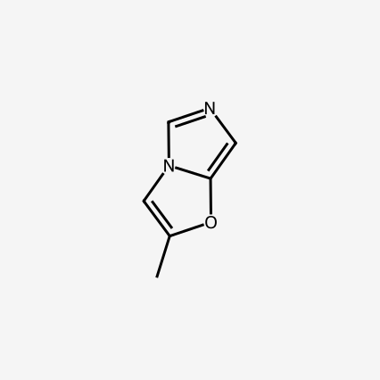 Cc1cn2cncc2o1